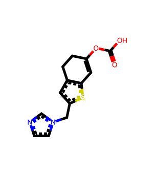 O=C(O)OC1=Cc2sc(Cn3ccnc3)cc2CC1